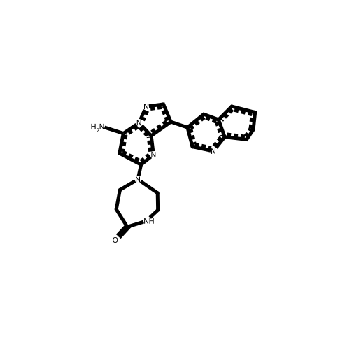 Nc1cc(N2CCNC(=O)CC2)nc2c(-c3cnc4ccccc4c3)cnn12